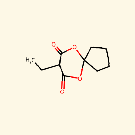 CCC1C(=O)OC2(CCCC2)OC1=O